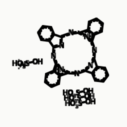 O=S(=O)(O)O.O=S(=O)(O)O.O=S(=O)(O)O.O=S(=O)(O)O.[Al].c1ccc2c(c1)-c1nc-2nc2[nH]c(nc3nc(nc4[nH]c(n1)c1ccccc41)-c1ccccc1-3)c1ccccc21